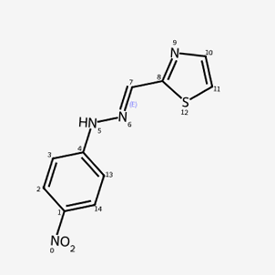 O=[N+]([O-])c1ccc(N/N=C/c2nccs2)cc1